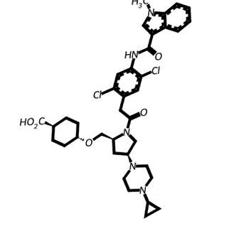 Cn1cc(C(=O)Nc2cc(Cl)c(CC(=O)N3C[C@@H](N4CCN(C5CC5)CC4)C[C@H]3CO[C@H]3CC[C@H](C(=O)O)CC3)cc2Cl)c2ccccc21